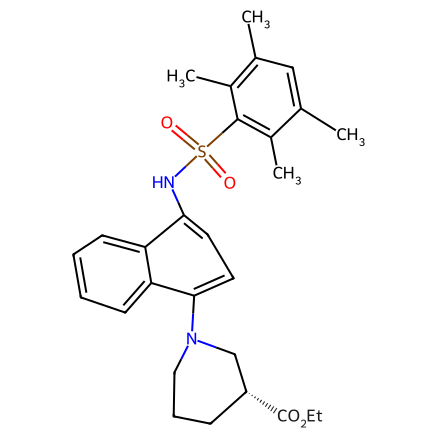 CCOC(=O)[C@@H]1CCCN(c2ccc(NS(=O)(=O)c3c(C)c(C)cc(C)c3C)c3ccccc23)C1